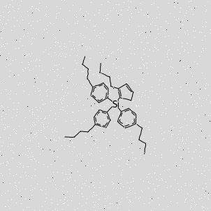 CCCCC1=C([Si](c2ccc(CCCC)cc2)(c2ccc(CCCC)cc2)c2ccc(CCCC)cc2)CC=C1